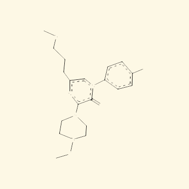 CNCCCc1cn(-c2ccc(F)cc2)c(=O)c(N2CCN(SC)CC2)n1